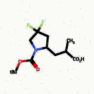 CC(CC1CC(F)(F)CN1C(=O)OC(C)(C)C)C(=O)O